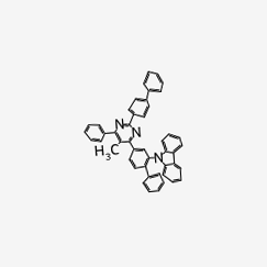 Cc1c(-c2ccccc2)nc(-c2ccc(-c3ccccc3)cc2)nc1-c1ccc(-c2ccccc2)c(-n2c3ccccc3c3ccccc32)c1